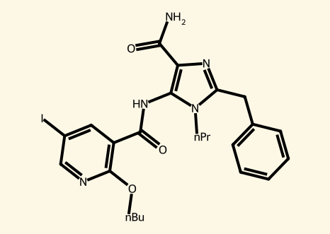 CCCCOc1ncc(I)cc1C(=O)Nc1c(C(N)=O)nc(Cc2ccccc2)n1CCC